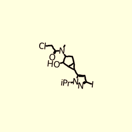 CC(C)n1nc(I)cc1C1C2CC(N(C)C(=O)CCl)C(O)C21